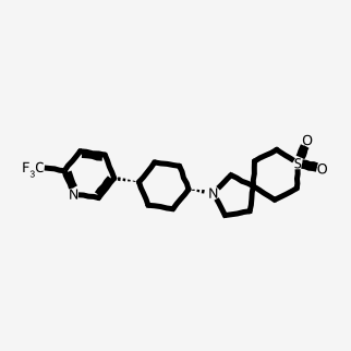 O=S1(=O)CCC2(CCN([C@H]3CC[C@@H](c4ccc(C(F)(F)F)nc4)CC3)C2)CC1